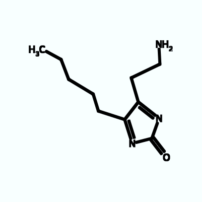 CCCCCC1=NC(=O)N=C1CCN